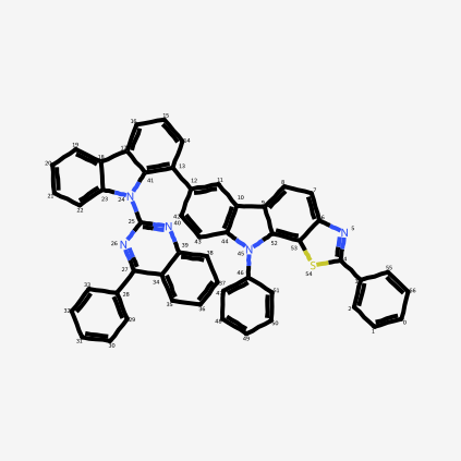 c1ccc(-c2nc3ccc4c5cc(-c6cccc7c8ccccc8n(-c8nc(-c9ccccc9)c9ccccc9n8)c67)ccc5n(-c5ccccc5)c4c3s2)cc1